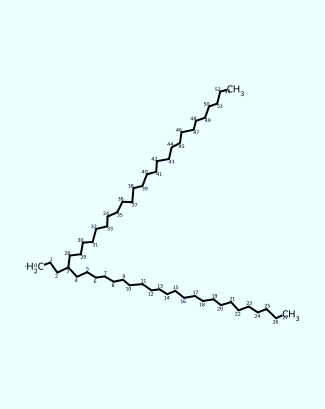 [CH2]CCC(CCCCCCCCCCCCCCCCCCCCCCCC)CCCCCCCCCCCCCCCCCCCCCCCCCC